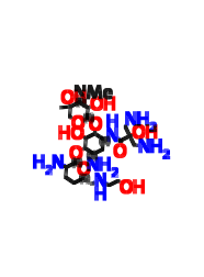 CN[C@@H]1C(O)[C@@H](OC2C(O)C(O[C@H]3O[C@H](CNCCO)CCC3N)[C@@H](N)C[C@H]2NC(=O)C(O)(CN)CN)OCC1(C)O